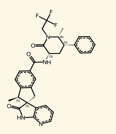 C[C@@H]1[C@H](c2ccccc2)C[C@H](NC(=O)c2ccc3c(c2)C[C@]2(C(=O)Nc4ncccc42)[C@H]3C)C(=O)N1CC(F)(F)F